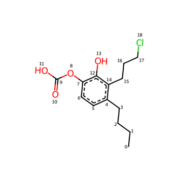 CCCCc1ccc(OC(=O)O)c(O)c1CCCCl